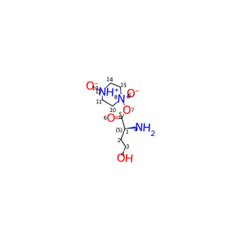 N[C@@H](CCO)C(=O)O[N+]1([O-])CC[NH+]([O-])CC1